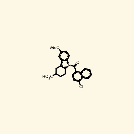 COc1ccc2c(c1)c1c(n2C(=O)c2ccc(Cl)c3ccccc23)CCC(C(=O)O)C1